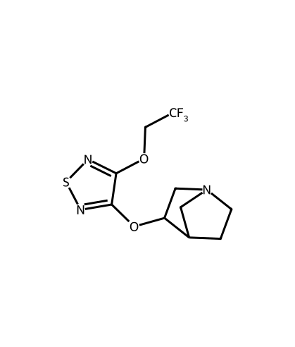 FC(F)(F)COc1nsnc1OC1CN2CCC1C2